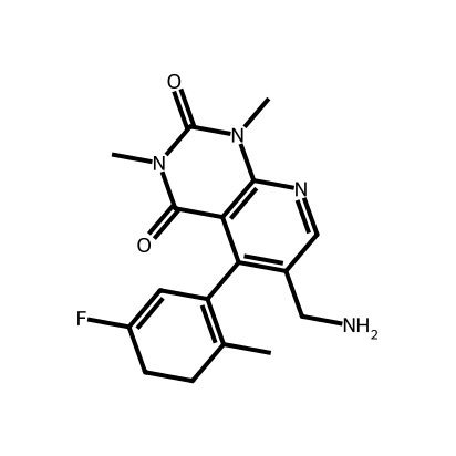 CC1=C(c2c(CN)cnc3c2c(=O)n(C)c(=O)n3C)C=C(F)CC1